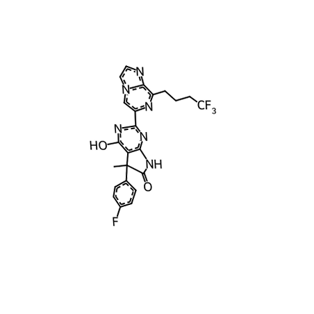 CC1(c2ccc(F)cc2)C(=O)Nc2nc(-c3cn4ccnc4c(CCCC(F)(F)F)n3)nc(O)c21